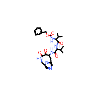 CC(C)C(NC(=O)OCc1ccccc1)C(=O)NC(C(=O)NC1Cc2cncc(n2)CNC(=O)C1=O)C(C)C